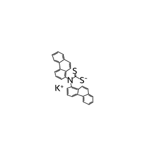 S=C([S-])N(c1cccc2c1ccc1ccccc12)c1cccc2c1ccc1ccccc12.[K+]